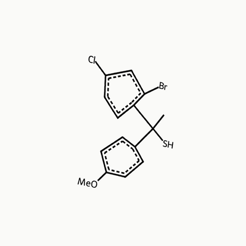 COc1ccc(C(C)(S)c2ccc(Cl)cc2Br)cc1